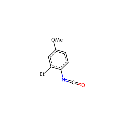 CCc1cc(OC)ccc1N=C=O